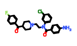 Nc1ccc(C(=O)N(CCN2CCC(C(=O)c3ccc(F)cc3)CC2)c2cccc(Cl)c2)cc1